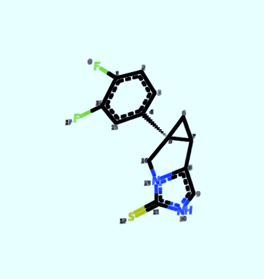 Fc1ccc([C@]23CC2c2c[nH]c(=S)n2C3)cc1F